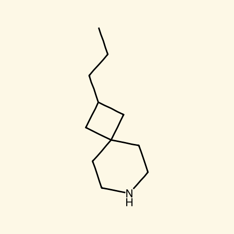 CCCC1CC2(CCNCC2)C1